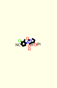 Cc1c(N2C(=O)N3CC[C@@H](OC(C)C)[C@H]3C2O)ccc(C#N)c1Cl